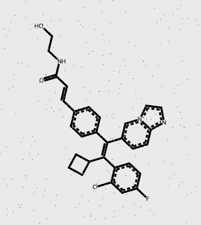 O=C(C=Cc1ccc(C(=C(c2ccc(F)cc2Cl)C2CCC2)c2ccc3nccn3c2)cc1)NCCO